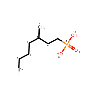 CC(C)CCCC(C)CCP(=O)(O)O